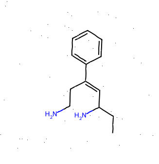 CCC(N)C=C(CCN)c1ccccc1